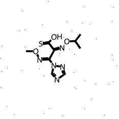 CON=C(C(=NOC(C)C)C(O)=S)n1cncn1